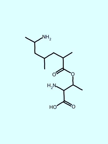 CC(N)CC(C)CC(C)C(=O)OC(C)C(N)C(=O)O